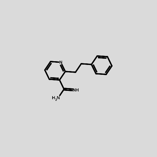 N=C(N)c1cccnc1CCc1ccccc1